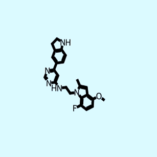 COc1ccc(F)c2c1cc(C)n2CCNc1cc(-c2ccc3c(c2)CCN3)ncn1